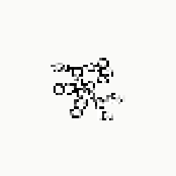 CC(C)(C)c1cc(N2c3cc4ccccc4cc3B3c4cc5ccccc5cc4N(c4cc(C(C)(C)C)cc(C(C)(C)C)c4)c4cc(-c5ccc6oc7ccccc7c6c5)cc2c43)cc(C(C)(C)C)c1